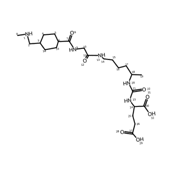 CNCC1CCC(C(=O)NCC(=O)NCCCCC(C)NC(=O)NC(CCC(=O)O)C(=O)O)CC1